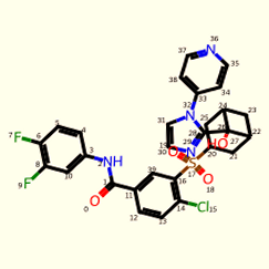 O=C(Nc1ccc(F)c(F)c1)c1ccc(Cl)c(S(=O)(=O)C2CC3CC(C2)C3(O)c2nccn2-c2ccncc2)c1